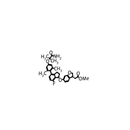 COC(=O)C[C@@H]1COc2cc(O[C@@H]3CCc4c(-c5c(C)cc(OC(C)(C)C(N)=O)cc5C)ccc(F)c43)ccc21